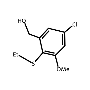 CCSc1c(CO)cc(Cl)cc1OC